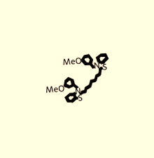 COc1cccc(CN2\C(=C/C=C/C=C/C=C/c3sc4ccccc4[n+]3Cc3cccc(OC)c3)Sc3ccccc32)c1